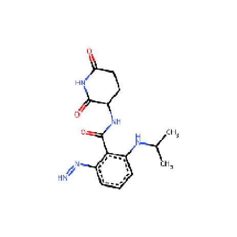 CC(C)Nc1cccc(N=N)c1C(=O)NC1CCC(=O)NC1=O